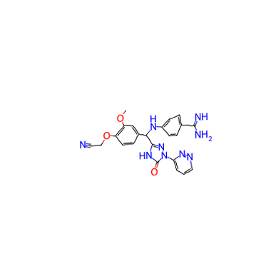 COc1cc(C(Nc2ccc(C(=N)N)cc2)c2nn(-c3cccnn3)c(=O)[nH]2)ccc1OCC#N